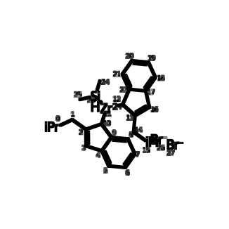 CC(C)CC1=Cc2ccccc2[CH]1[Zr+2]([CH]1C(CC(C)C)=Cc2ccccc21)[SiH](C)C.[Br-].[Br-]